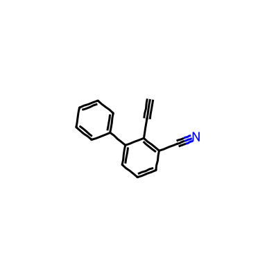 C#Cc1c(C#N)cccc1-c1ccccc1